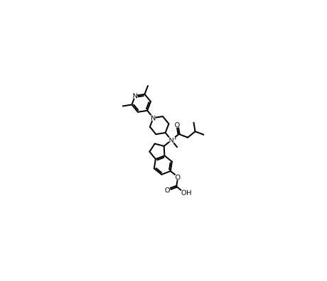 Cc1cc(N2CCC([N+](C)(C(=O)CC(C)C)C3CCc4ccc(OC(=O)O)cc43)CC2)cc(C)n1